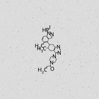 C=CC(=O)N1CCN(c2ncnc3c2CC(C)C(c2c(C)ccc4c2cnn4PI)C3)CC1